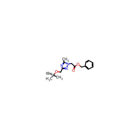 Cc1nc(CO[Si](C)(C)C(C)(C)C)nn1CC(=O)OCc1ccccc1